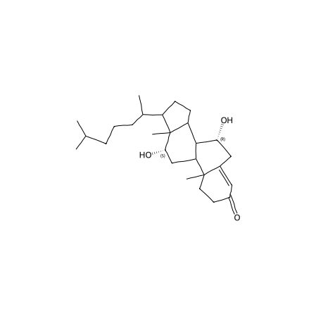 CC(C)CCCC(C)C1CCC2C3C(C[C@H](O)C12C)C1(C)CCC(=O)C=C1C[C@H]3O